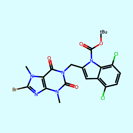 Cn1c(Br)nc2c1c(=O)n(Cc1cc3c(Cl)ccc(Cl)c3n1C(=O)OC(C)(C)C)c(=O)n2C